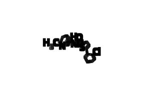 CC1CC2CCN1C[C@@H]2NC(=O)c1ccc(-c2ccccc2Cl)s1